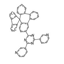 c1cncc(-c2nc(-c3cccnc3)nc(-c3ccc4c(c3)-c3ccccc3-c3ccccc3C43c4ccccc4-c4ccccc43)n2)c1